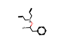 C=CC[SiH](CC=C)OC(CCC)Cc1ccccc1